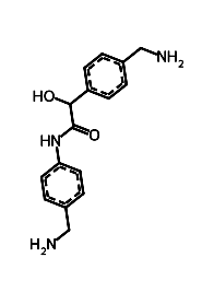 NCc1ccc(NC(=O)C(O)c2ccc(CN)cc2)cc1